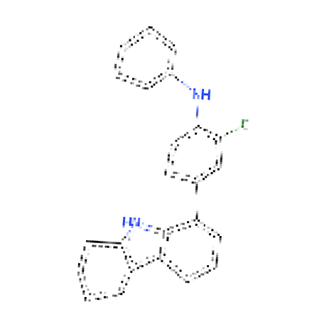 Clc1cc(-c2cccc3c2[nH]c2ccccc23)ccc1Nc1ccccc1